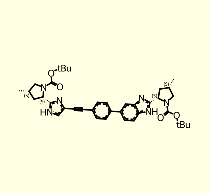 C[C@H]1C[C@@H](c2nc(C#Cc3ccc(-c4ccc5[nH]c([C@@H]6C[C@H](C)CN6C(=O)OC(C)(C)C)nc5c4)cc3)c[nH]2)N(C(=O)OC(C)(C)C)C1